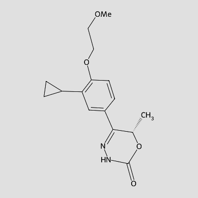 COCCOc1ccc(C2=NNC(=O)O[C@H]2C)cc1C1CC1